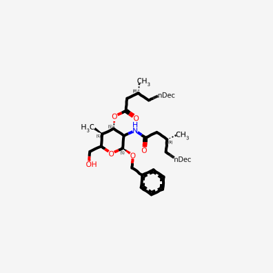 CCCCCCCCCCC[C@@H](C)CC(=O)NC1[C@@H](OCc2ccccc2)OC(CO)[C@@H](C)[C@@H]1OC(=O)C[C@H](C)CCCCCCCCCCC